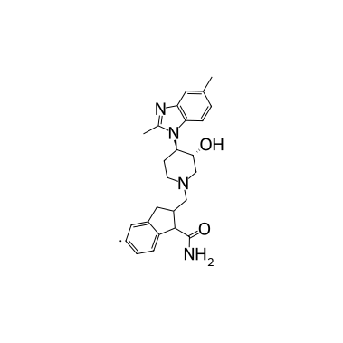 Cc1ccc2c(c1)nc(C)n2[C@@H]1CCN(CC2Cc3c[c]ccc3C2C(N)=O)C[C@H]1O